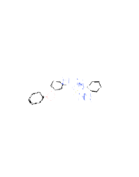 C=N/N=C(/SCc1cccc(Oc2ccccc2)c1)N(N)c1ccccc1